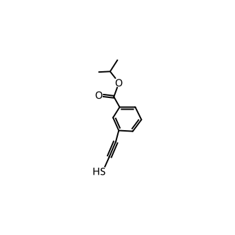 CC(C)OC(=O)c1cccc(C#CS)c1